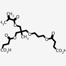 C=C(C)C(=O)OCC(C)(COCCCOC(=O)CCC(=O)O)COC(=O)CCC(=O)O